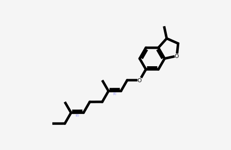 CC/C(C)=C/CC/C(C)=C/COc1ccc2c(c1)OCC2C